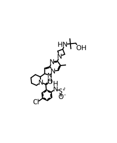 CC1=CN2NC(C3CCCCN3C(=O)c3cc(Cl)ccc3N[S+](C)[O-])C=C2N=C1N1CC(NC(C)(C)CO)C1